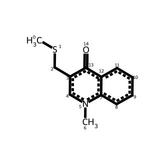 CSCc1cn(C)c2ccccc2c1=O